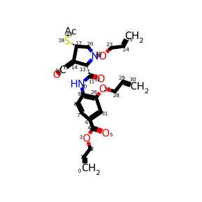 C=CCOC(=O)c1ccc(NC(=O)[C@@H]2C(=C=O)[C@H](SC(C)=O)CN2OCC=C)c(OCC=C)c1